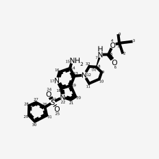 CC(C)(C)OC(=O)N[C@H]1CCCN(c2c(N)cnc3c2ccn3S(=O)(=O)c2ccccc2)C1